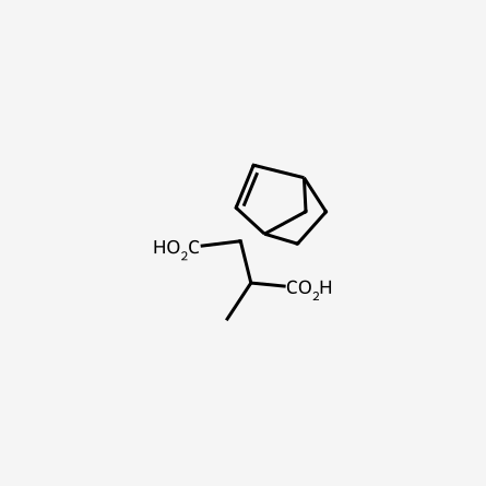 C1=CC2CCC1C2.CC(CC(=O)O)C(=O)O